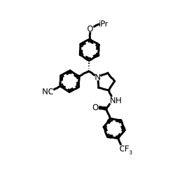 CC(C)Oc1ccc([C@@H](c2ccc(C#N)cc2)N2CCC(NC(=O)c3ccc(C(F)(F)F)cc3)C2)cc1